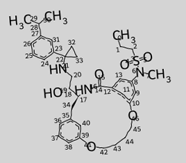 CCCS(=O)(=O)N(C)c1cc2cc(c1)C(=O)N[C@H]([C@H](O)CNC1(c3cccc(C(C)C)c3)CC1)Cc1cccc(c1)OCCCCO2